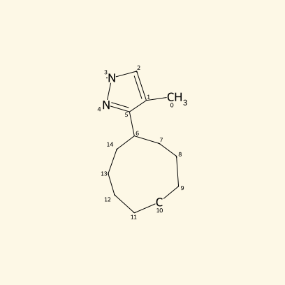 CC1=C[N]N=C1C1CCCCCCCC1